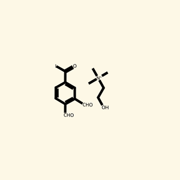 C[N+](C)(C)CCO.O=Cc1ccc(C(=O)I)cc1C=O